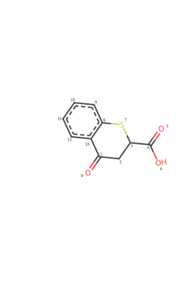 O=C1CC(C(=O)O)Sc2ccccc21